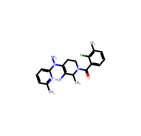 Cc1cccc(N(N)C2=C(N)C(C)N(C(=O)c3cccc(C(F)(F)F)c3F)CC2)n1